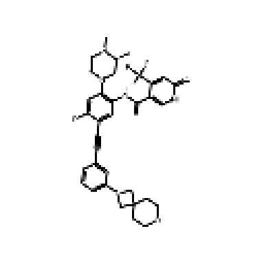 C[C@H]1CN(c2cc(F)c(C#Cc3cccc(N4CC5(CCOCC5)C4)c3)cc2NC(=O)c2c[nH]c(=O)cc2C(F)(F)F)CCN1C